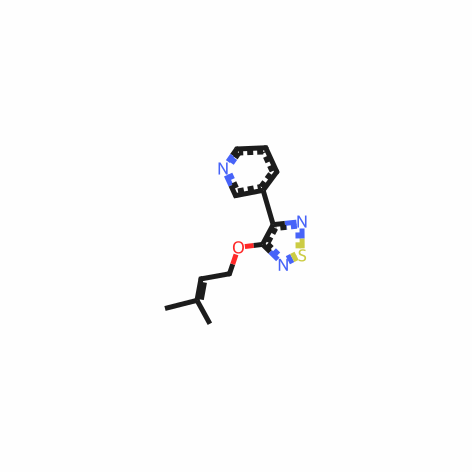 CC(C)=CCOc1nsnc1-c1cccnc1